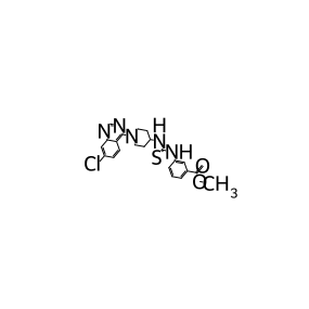 COC(=O)c1cccc(NC(=S)NC2CCN(c3ncnc4cc(Cl)ccc34)CC2)c1